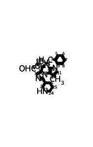 CC(C)(C)OC=O.Cc1ccccc1-n1ccc2c1ncc1cnc(C3CNCCC3C)n12